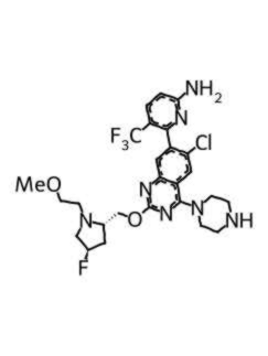 COCCN1C[C@H](F)C[C@H]1COc1nc(N2CCNCC2)c2cc(Cl)c(-c3nc(N)ccc3C(F)(F)F)cc2n1